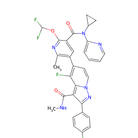 CNC(=O)c1c(-c2ccc(F)cc2)nn2ccc(-c3cc(C(=O)N(c4ccccn4)C4CC4)c(OC(F)F)nc3C)c(F)c12